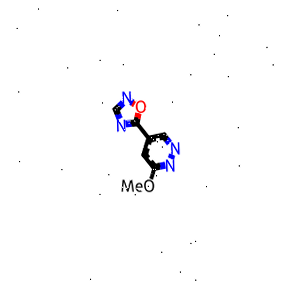 COc1cc(-c2ncno2)cnn1